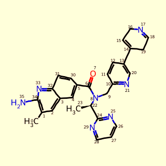 Cc1cc2cc(C(=O)N(Cc3ccc(C4=CCN=CC4)cn3)[C@H](C)c3ncccn3)ccc2nc1N